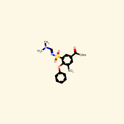 COC(=O)c1cc([N+](=O)[O-])c(Oc2ccccc2)c(S(=O)(=O)N=CN(C)C)c1